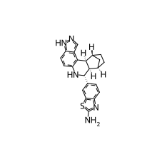 Nc1nc2ccc([C@@H]3Nc4ccc5[nH]ncc5c4[C@H]4[C@@H]5CC[C@H](C5)[C@H]43)cc2s1